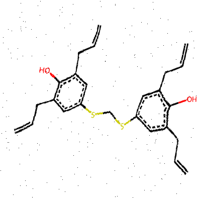 C=CCc1cc(SCSc2cc(CC=C)c(O)c(CC=C)c2)cc(CC=C)c1O